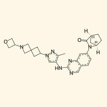 Cc1nn(C2CC3(C2)CN(C2COC2)C3)cc1Nc1ncc2ccc(N3C(=O)[C@H]4CC[C@@H]3C4)cc2n1